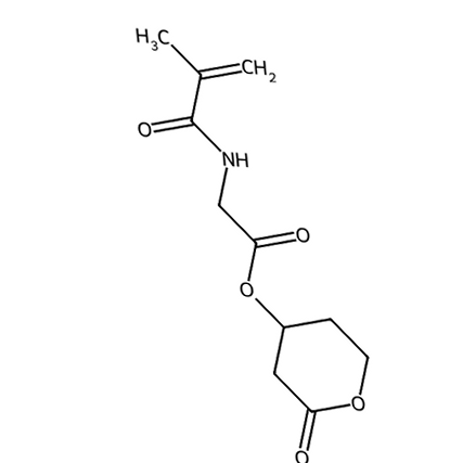 C=C(C)C(=O)NCC(=O)OC1CCOC(=O)C1